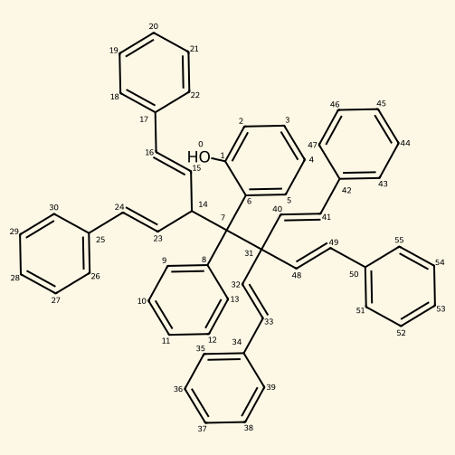 Oc1ccccc1C(c1ccccc1)(C(C=Cc1ccccc1)C=Cc1ccccc1)C(C=Cc1ccccc1)(C=Cc1ccccc1)C=Cc1ccccc1